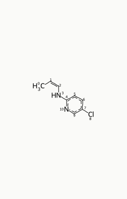 C/C=C\Nc1ccc(Cl)cn1